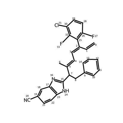 C=C/C(=C\C=C(/C)C(Cc1ccccc1)c1nc2cc(C#N)ccc2[nH]1)c1c(F)ccc(Cl)c1F